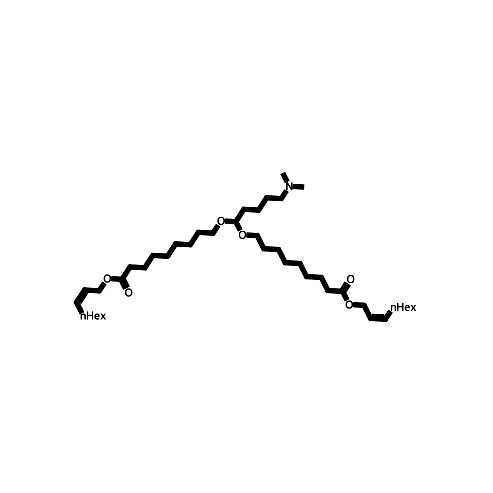 CCCCCC/C=C\COC(=O)CCCCCCCCOC(CCCCN(C)C)OCCCCCCCCC(=O)OC/C=C\CCCCCC